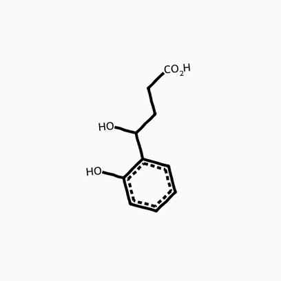 O=C(O)CCC(O)c1ccccc1O